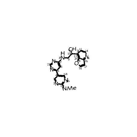 CNc1ncc(-c2cc(NC[C@@H](C)c3ccnc4ccoc34)ncn2)cn1